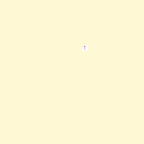 N#CCc1ccc(C=C2CCCCC2)cc1